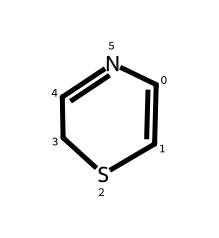 C1=CSCC=N1